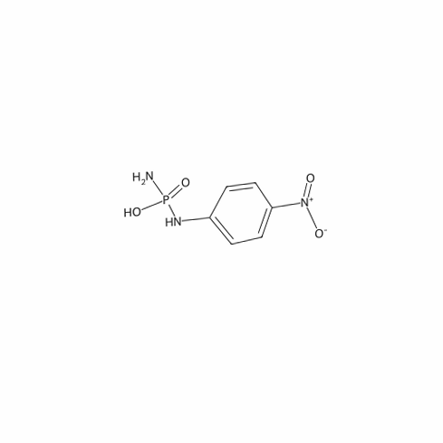 NP(=O)(O)Nc1ccc([N+](=O)[O-])cc1